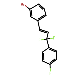 Fc1ccc(C(F)(F)C=Cc2cccc(Br)c2)cc1